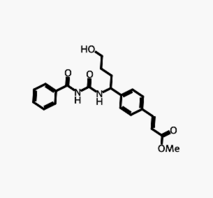 COC(=O)C=Cc1ccc(C(CCCO)NC(=O)NC(=O)c2ccccc2)cc1